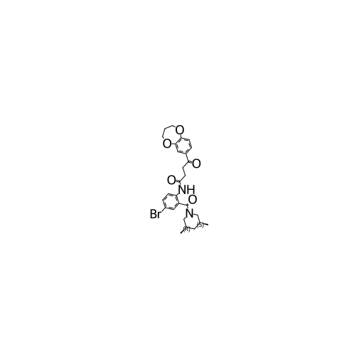 C[C@@H]1C[C@H](C)CN(C(=O)c2cc(Br)ccc2NC(=O)CCC(=O)c2ccc3c(c2)OCCCO3)C1